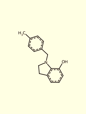 Cc1ccc(CN2CCc3cccc(O)c32)cc1